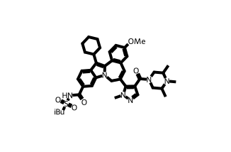 CCC(C)S(=O)(=O)NC(=O)c1ccc2c(C3CCCCC3)c3n(c2c1)CC(c1c(C(=O)N2CC(C)N(C)C(C)C2)cnn1C)=Cc1cc(OC)ccc1-3